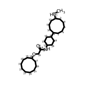 CBC1CCCCCC(C2CCC(NC(=O)COC3CCCCCCCCC3)CC2)CCC1